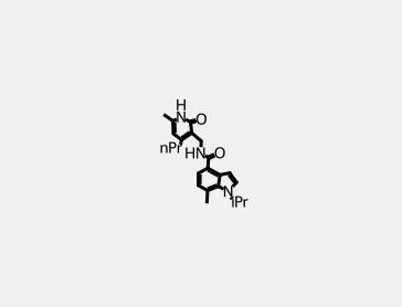 CCCc1cc(C)[nH]c(=O)c1CNC(=O)c1ccc(C)c2c1ccn2C(C)C